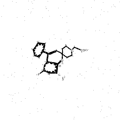 O=C([O-])CN1CCC2(C=C(c3ccccc3)c3cc(F)ccc3O2)CC1.[Li+]